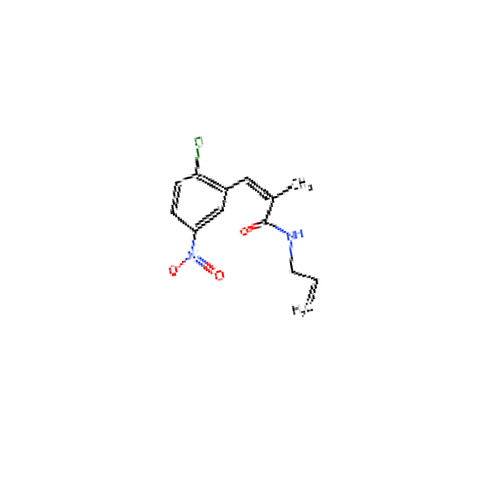 C=CCNC(=O)C(C)=Cc1cc([N+](=O)[O-])ccc1Cl